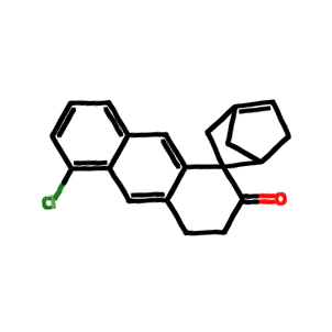 O=C1CCc2cc3c(Cl)cccc3cc2C12CC1=CCC2C1